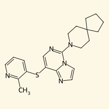 Cc1ncccc1Sc1cnc(N2CCC3(CCCC3)CC2)n2ccnc12